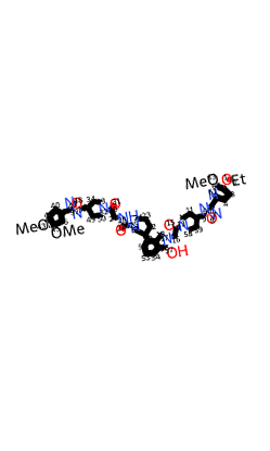 CCOc1ccc(-c2noc(C3CCN(C(=O)CN4Cc5c(C6CCCN(C(=O)NCC(=O)N7CCC(c8nc(-c9ccc(OC)c(OC)c9)no8)CC7)C6)cccc5C4O)CC3)n2)nc1OC